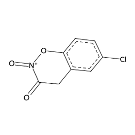 O=C1Cc2cc(Cl)ccc2O[N+]1=O